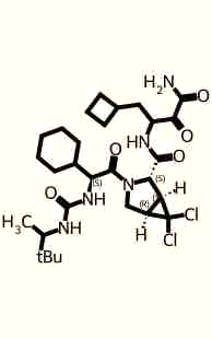 CC(NC(=O)N[C@H](C(=O)N1C[C@H]2[C@@H]([C@H]1C(=O)NC(CC1CCC1)C(=O)C(N)=O)C2(Cl)Cl)C1CCCCC1)C(C)(C)C